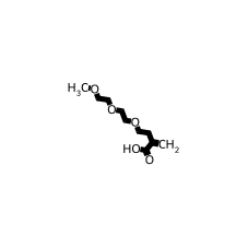 C=C(CCOCCOCCOC)C(=O)O